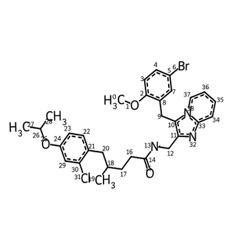 COc1ccc(Br)cc1Cc1c(C[N]C(=O)CCC(C)Cc2ccc(OC(C)C)cc2Cl)nc2ccccn12